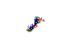 C[C@H](CO)n1c(C(F)F)nc2cc(C(=O)Nc3ccc(OC(F)(F)Cl)cc3)cc(Br)c21